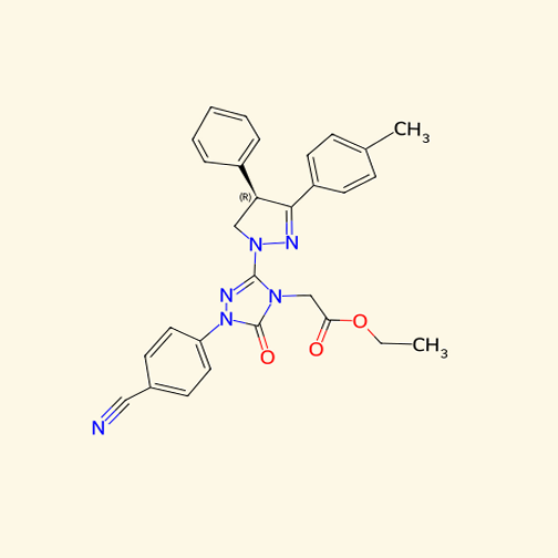 CCOC(=O)Cn1c(N2C[C@@H](c3ccccc3)C(c3ccc(C)cc3)=N2)nn(-c2ccc(C#N)cc2)c1=O